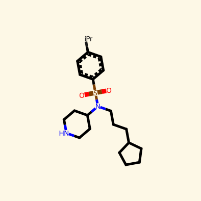 CC(C)c1ccc(S(=O)(=O)N(CCCC2CCCC2)C2CCNCC2)cc1